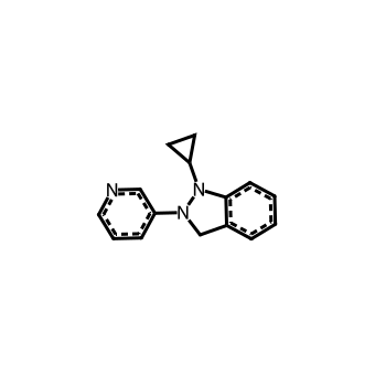 c1cncc(N2Cc3ccccc3N2C2CC2)c1